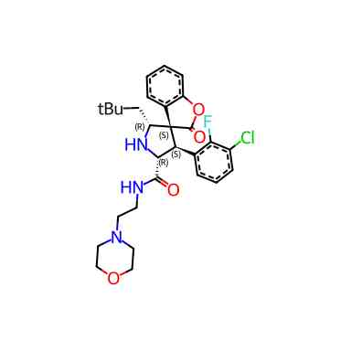 CC(C)(C)C[C@H]1N[C@@H](C(=O)NCCN2CCOCC2)[C@H](c2cccc(Cl)c2F)[C@@]12C(=O)Oc1ccccc12